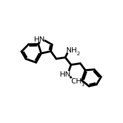 CNC(Cc1ccccc1)C(N)Cc1c[nH]c2ccccc12